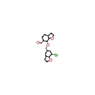 O=Cc1ccc2ccoc2c1OCc1cc(Br)c2occc2c1